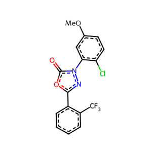 COc1ccc(Cl)c(-n2nc(-c3ccccc3C(F)(F)F)oc2=O)c1